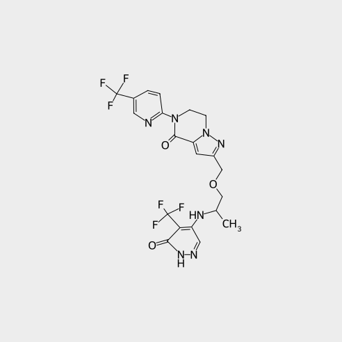 CC(COCc1cc2n(n1)CCN(c1ccc(C(F)(F)F)cn1)C2=O)Nc1cn[nH]c(=O)c1C(F)(F)F